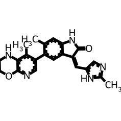 Cc1ncc(C=C2C(=O)Nc3cc(C)c(-c4cnc5c(c4C)NCCO5)cc32)[nH]1